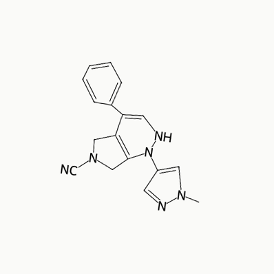 Cn1cc(N2NC=C(c3ccccc3)C3=C2CN(C#N)C3)cn1